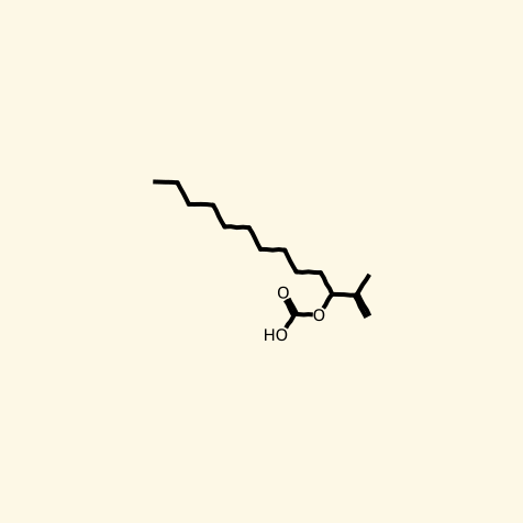 C=C(C)C(CCCCCCCCCC)OC(=O)O